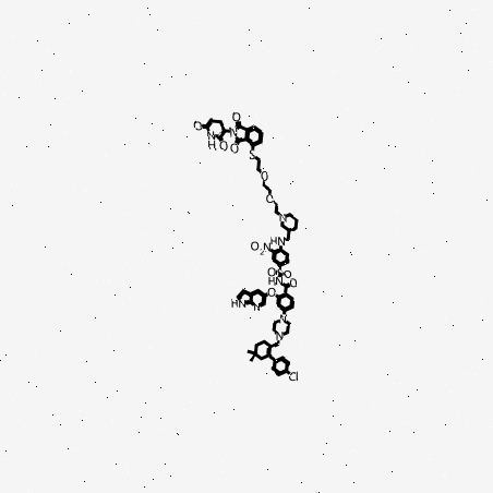 CC1(C)CCC(CN2CCN(c3ccc(C(=O)NS(=O)(=O)c4ccc(NCC5CCCN(CCOCCOCCSc6cccc7c6C(=O)N(C6CCC(=O)NC6=O)C7=O)C5)c([N+](=O)[O-])c4)c(Oc4cnc5[nH]ccc5c4)c3)CC2)=C(c2ccc(Cl)cc2)C1